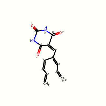 C=C/C=C\C(C=C1C(=O)NC(=O)NC1=O)=C/C=C